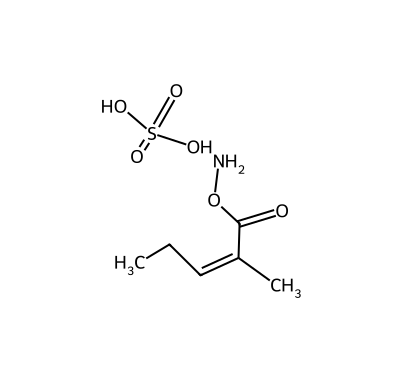 CCC=C(C)C(=O)ON.O=S(=O)(O)O